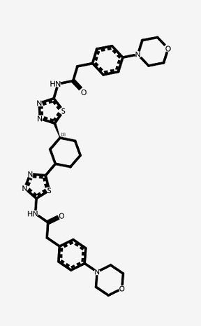 O=C(Cc1ccc(N2CCOCC2)cc1)Nc1nnc(C2CCC[C@H](c3nnc(NC(=O)Cc4ccc(N5CCOCC5)cc4)s3)C2)s1